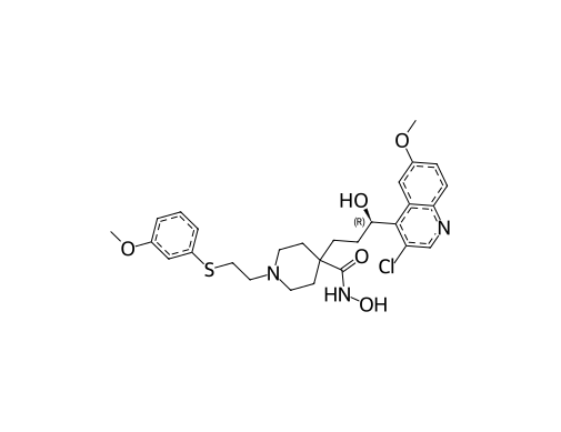 COc1cccc(SCCN2CCC(CC[C@@H](O)c3c(Cl)cnc4ccc(OC)cc34)(C(=O)NO)CC2)c1